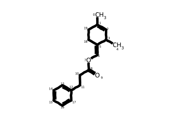 CC1=CC(C)C(=COC(=O)CCc2ccccc2)CC1